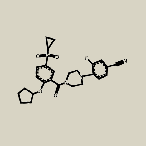 N#Cc1ccc(N2CCN(C(=O)c3cc(S(=O)(=O)C4CC4)ccc3OC3CCCC3)CC2)c(F)c1